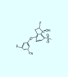 CS(=O)(=O)c1ccc(Oc2cc(F)cc(C#N)c2)c2c1[C@H](O)C(F)C2